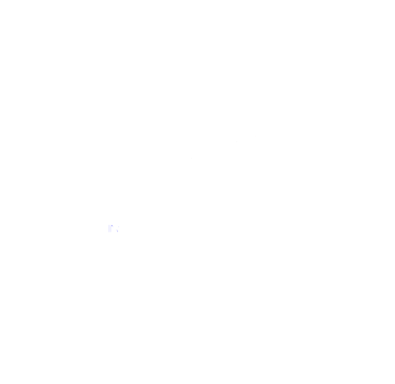 CC(CCCN[C]=O)c1ccc(OC(F)(F)F)cc1